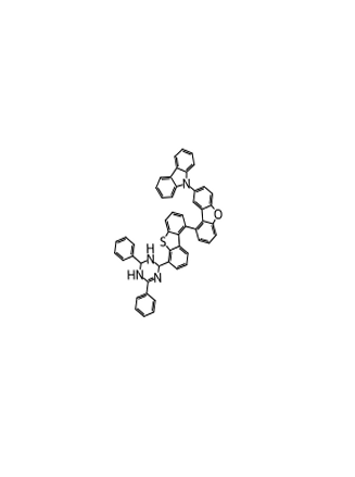 c1ccc(C2=NC(c3cccc4c3sc3cccc(-c5cccc6oc7ccc(-n8c9ccccc9c9ccccc98)cc7c56)c34)NC(c3ccccc3)N2)cc1